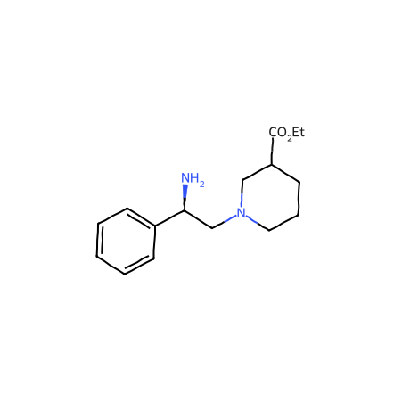 CCOC(=O)C1CCCN(C[C@H](N)c2ccccc2)C1